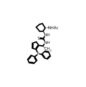 CC(=O)N[C@H]1CCCC[C@@H]1NC(=S)N[C@H](C)C1=C(P(c2ccccc2)c2ccccc2)C=CC1